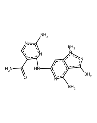 Bc1nc(Nc2nc(N)ncc2C(N)=O)cc2c1c(B)nn2B